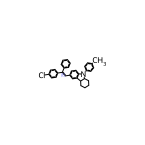 Cc1ccc(N2c3ccc(/C=C(\c4ccccc4)c4ccc(Cl)cc4)cc3C3CCCCC32)cc1